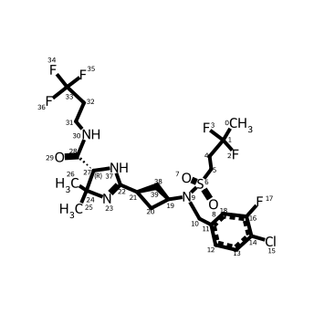 CC(F)(F)CCS(=O)(=O)N(Cc1ccc(Cl)c(F)c1)C12CC(C3=NC(C)(C)[C@H](C(=O)NCCC(F)(F)F)N3)(C1)C2